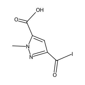 Cn1nc(C(=O)I)cc1C(=O)O